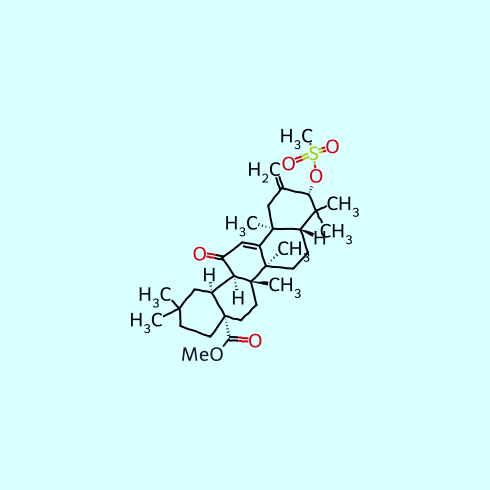 C=C1C[C@]2(C)C3=CC(=O)[C@@H]4[C@@H]5CC(C)(C)CC[C@]5(C(=O)OC)CC[C@@]4(C)[C@]3(C)CC[C@H]2C(C)(C)[C@H]1OS(C)(=O)=O